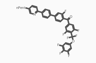 CCCCCc1ccc(-c2ccc(-c3ccc(C(=O)c4cc(F)c(C(F)(F)Oc5cc(F)c(F)c(F)c5)c(F)c4)c(F)c3)cc2)nc1